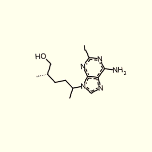 CC(CC[C@H](C)CO)n1cnc2c(N)nc(I)nc21